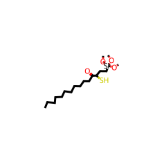 CCCCCCCCCCCC(=O)C(S)CC[Si](OC)(OC)OC